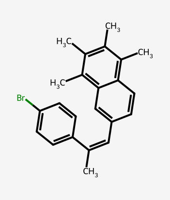 CC(=Cc1ccc2c(C)c(C)c(C)c(C)c2c1)c1ccc(Br)cc1